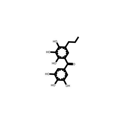 CCCc1cc(C(=O)c2cc(O)c(O)c(O)c2)c(O)c(O)c1O